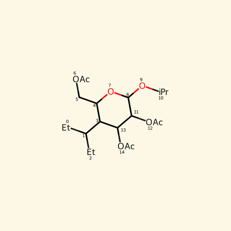 CCC(CC)C1C(COC(C)=O)OC(OC(C)C)C(OC(C)=O)C1OC(C)=O